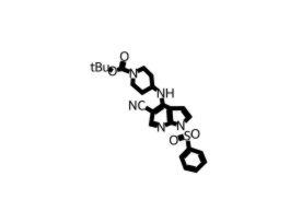 CC(C)(C)OC(=O)N1CCC(Nc2c(C#N)cnc3c2ccn3S(=O)(=O)c2ccccc2)CC1